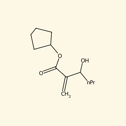 C=C(C(=O)OC1CCCC1)C(O)CCC